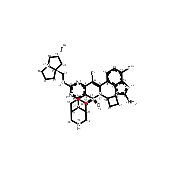 Nc1nc2c(C3=C(F)c4nc(OC[C@@]56CCCN5C[C@H](F)C6)nc(N5C6CNCC5COC6)c4S(=O)(=O)N3C3CCC3)ccc(F)c2s1